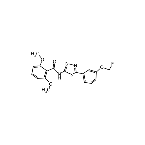 COc1cccc(OC)c1C(=O)Nc1nnc(-c2cccc(OCF)c2)s1